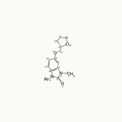 CC(C)n1c(=O)n(C)c2cc(OCC3CCCO3)ccc21